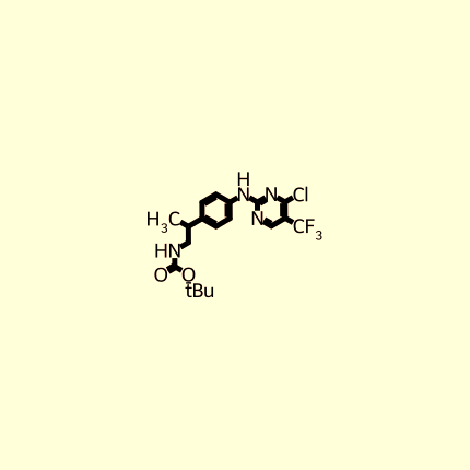 CC(CNC(=O)OC(C)(C)C)c1ccc(Nc2ncc(C(F)(F)F)c(Cl)n2)cc1